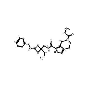 CC(C)(C)OC(=O)N1CCc2c[nH]c(C(=O)NCC3(CO)CC(OCc4ccccc4)C3)c2C1